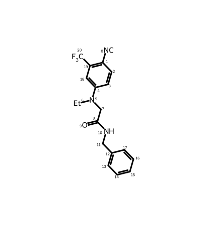 [C-]#[N+]c1ccc(N(CC)CC(=O)NCc2ccccc2)cc1C(F)(F)F